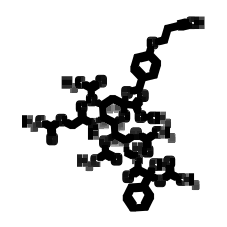 C#CCCOc1ccc(CO[C@]2(C(=O)OC)C[C@H](OC(C)=O)[C@@H](NC(=O)COC(C)=O)[C@H]([C@H](OC(C)=O)[C@@H](CNC(=O)C(C)(OC(C)=O)c3ccccc3)OC(C)=O)O2)cc1